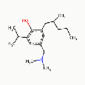 CCCC(C)Cc1cc(CN(C)C)cc(C(C)C)c1O